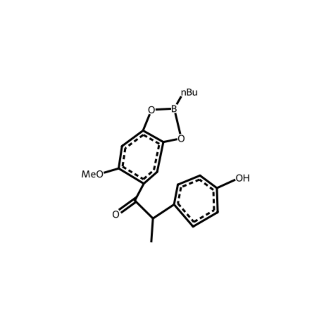 CCCCB1Oc2cc(OC)c(C(=O)C(C)c3ccc(O)cc3)cc2O1